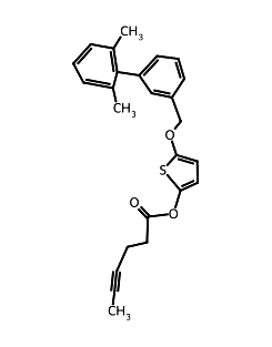 CC#CCCC(=O)Oc1ccc(OCc2cccc(-c3c(C)cccc3C)c2)s1